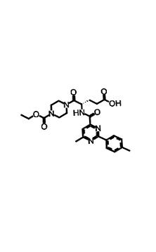 CCOC(=O)N1CCN(C(=O)[C@H](CCC(=O)O)NC(=O)c2cc(C)nc(-c3ccc(C)cc3)n2)CC1